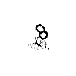 CC(Oc1cccc2ccccc12)C(C)(C)C